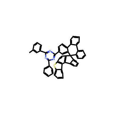 Cc1cccc(-c2nc(-c3ccccc3)nc(-c3ccc4c(c3)C3(c5ccccc5-c5ccccc5-4)c4ccccc4-c4c3ccc3sc5ccccc5c43)n2)c1